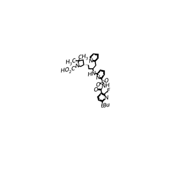 CC(C)(C)c1ccc(C(=O)NS(=O)(=O)c2cccc(NC(CC[C@@H]3CN(C(=O)O)C(C)(C)C3)Cc3ccccn3)n2)c(F)n1